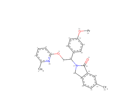 Cc1cccc(OCC(c2ccc(OC(C)C)cc2)N2Cc3ccc(C(F)(F)F)cc3C2=O)n1